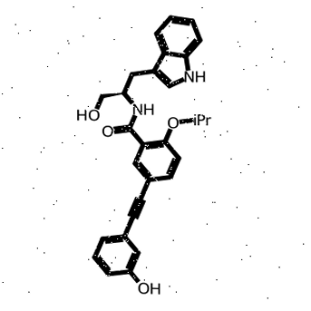 CC(C)Oc1ccc(C#Cc2cccc(O)c2)cc1C(=O)N[C@@H](CO)Cc1c[nH]c2ccccc12